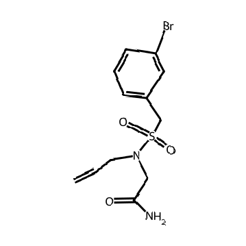 C=CCN(CC(N)=O)S(=O)(=O)Cc1cccc(Br)c1